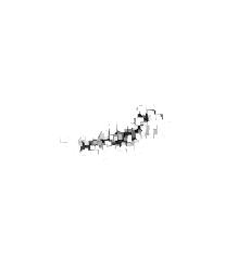 CC1C=CC(C)(C(C)(C)[N+]23CCC(C(C)(C)CCC(C)(C)C4CC(N(C)C)C4)(CC2)C3)CN1C